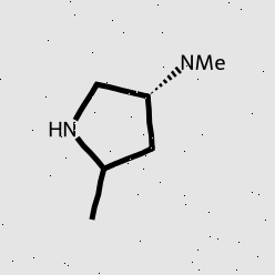 CN[C@H]1CNC(C)C1